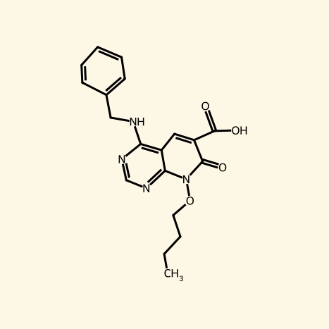 CCCCOn1c(=O)c(C(=O)O)cc2c(NCc3ccccc3)ncnc21